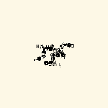 CC(C)(Oc1ccc(Cl)cc1)C(=O)N1CCN(c2nc(N)nc3sc(-c4ccccc4)cc23)CC1.COc1ccc(-c2nc3c(N4CCN(C(=O)COc5ccc(Cl)cc5)CC4)nc(N)nc3[nH]2)cc1OC.Nc1nc(N2CCN(C(=O)COc3ccc(Cl)cc3)CC2)c2nc(-c3ccc(F)cc3)[nH]c2n1